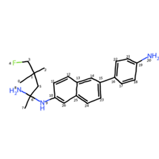 CC(C)(CF)CC(C)(N)Nc1ccc2cc(-c3ccc(N)cc3)ccc2c1